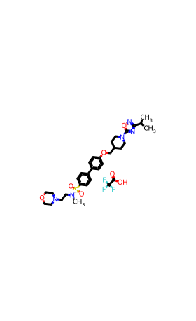 CC(C)c1noc(N2CCC(COc3ccc(-c4ccc(S(=O)(=O)N(C)CCN5CCOCC5)cc4)cc3)CC2)n1.O=C(O)C(F)(F)F